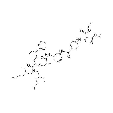 CCCCC(CC)CN(CC(CC)CCCC)C(=O)[CH](CCC(CC)c1ccccc1)[Co][CH2]C(C)C(=O)Nc1cccc(NC(=O)c2ccc(NN=C(C(=O)OCC)C(=O)OCC)cc2)c1